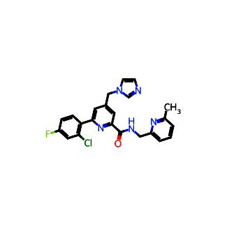 Cc1cccc(CNC(=O)c2cc(Cn3ccnc3)cc(-c3ccc(F)cc3Cl)n2)n1